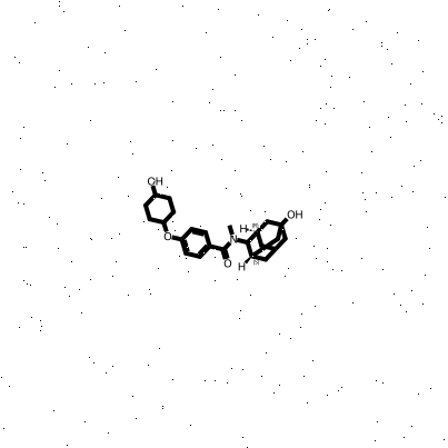 CN(C(=O)c1ccc(OC2CCC(O)CC2)cc1)C1[C@@H]2CC3C[C@H]1CC(O)(C3)C2